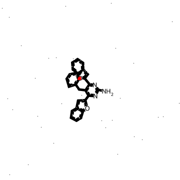 Nc1nc(-c2cc3ccccc3o2)c(Cc2ccccc2)c(-c2cc3ccccc3o2)n1